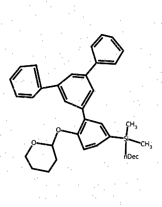 CCCCCCCCCC[Si](C)(C)c1ccc(OC2CCCCO2)c(-c2cc(-c3ccccc3)cc(-c3ccccc3)c2)c1